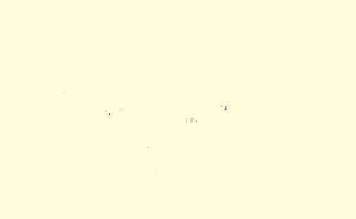 CCC(C)N1CCC(c2csc3ccc(NC(=S)NCCCc4ccccc4)cc23)CC1